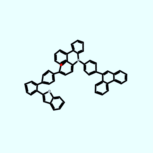 c1ccc(-c2ccccc2N(c2ccc(-c3ccc(-c4ccccc4-c4cc5ccccc5o4)cc3)cc2)c2ccc(-c3cc4ccccc4c4ccccc34)cc2)cc1